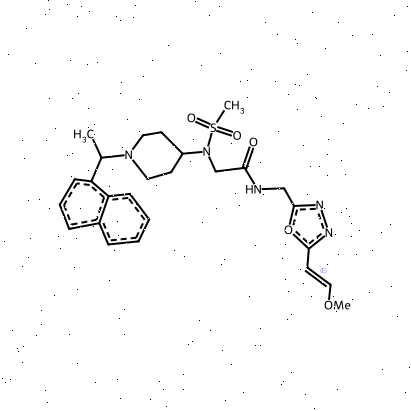 CO/C=C/c1nnc(CNC(=O)CN(C2CCN(C(C)c3cccc4ccccc34)CC2)S(C)(=O)=O)o1